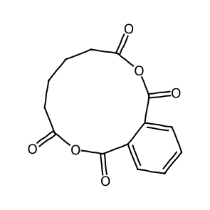 O=C1CCCCC(=O)OC(=O)c2ccccc2C(=O)O1